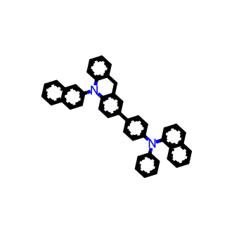 c1ccc(N(c2ccc(-c3ccc4c(c3)Cc3ccccc3N4c3ccc4ccccc4c3)cc2)c2cccc3ccccc23)cc1